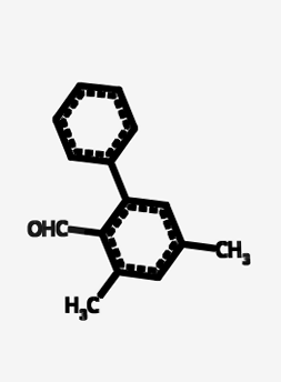 Cc1cc(C)c(C=O)c(-c2ccccc2)c1